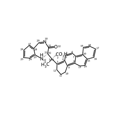 C[C@](C(=O)O)(C1=c2ccc3c(c2CCC1)CC=c1ccccc1=3)[C@@H]1Nc2ccccc2C=NC1=O